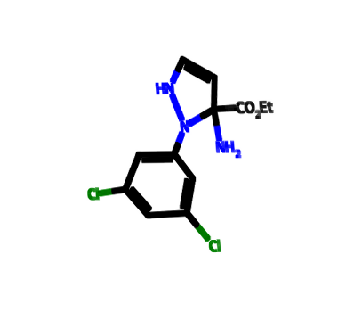 CCOC(=O)C1(N)C=CNN1c1cc(Cl)cc(Cl)c1